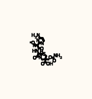 CON=C(C(=O)NC1C(=O)N2CC(COC(N)=O)(C(=O)O)CS[C@H]12)c1nccc(N)n1